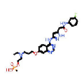 CCN(CCCOc1ccc2c(Nc3cc(CC(=O)Nc4cccc(F)c4)[nH]n3)ncnc2c1)CCOP(C)(=O)O